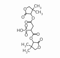 CC1(C)COC(=O)C1OC(=O)CC(C(=O)OC1C(=O)OCC1(C)C)S(=O)(=O)O